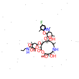 CCCNC[C@]1(O)[C@H](C)O[C@@H](O[C@H]2[C@H](C)[C@@H](O[C@@H]3O[C@H](C)C[C@H](NC)[C@H]3Oc3ccc(F)cc3C)[C@](C)(O)C[C@@H](C)CN[C@H](C)[C@@H](O)[C@](C)(O)[C@@H](CC)OC(=O)[C@@H]2C)C[C@@]1(C)OC